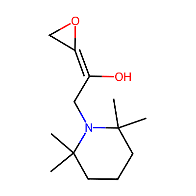 CC1(C)CCCC(C)(C)N1CC(O)=C1CO1